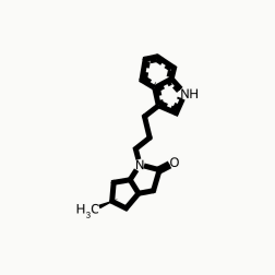 C[C@@H]1CC2CC(=O)N(CCCc3c[nH]c4ccccc34)C2C1